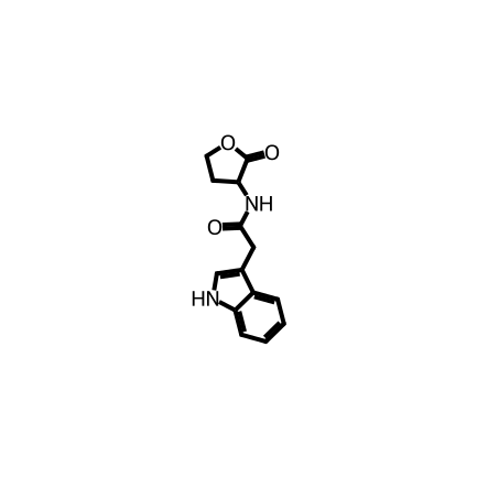 O=C(Cc1c[nH]c2ccccc12)NC1CCOC1=O